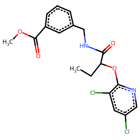 CCC(Oc1ncc(Cl)cc1Cl)C(=O)NCc1cccc(C(=O)OC)c1